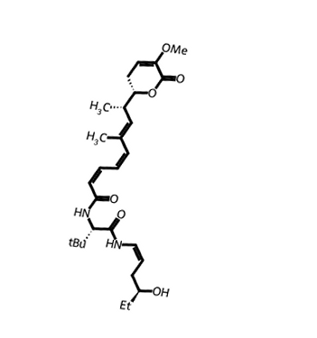 CC[C@H](O)C/C=C\NC(=O)[C@@H](NC(=O)\C=C/C=C\C(C)=C\[C@H](C)[C@@H]1CC=C(OC)C(=O)O1)C(C)(C)C